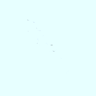 C[C@@]1(O)CC[C@@]2(F)[C@@H](CC[C@H]3[C@@H]4CC[C@H](C(=O)CNc5ccc(F)cc5)[C@@]4(C)CC[C@@H]32)C1